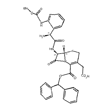 CC(C)(C)OC(=O)Nc1ccccc1[C@H](N)C(=O)N[C@@H]1C(=O)N2C(C(=O)OC(c3ccccc3)c3ccccc3)=C(CC(=O)O)CS[C@@H]12